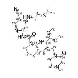 CCSCCNc1cc(NC(=O)N2CCCc3cc(CN4CCN(C)CC4=O)c(C(OC)OC)nc32)ncc1C#N